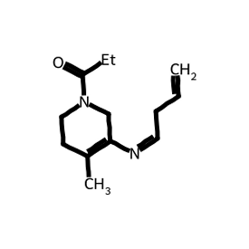 C=CC/C=N\C1=C(C)CCN(C(=O)CC)C1